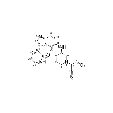 N#CC(C=O)N1CCC[C@@H](Nc2ccc3ncc(-c4ccc[nH]c4=O)n3n2)C1